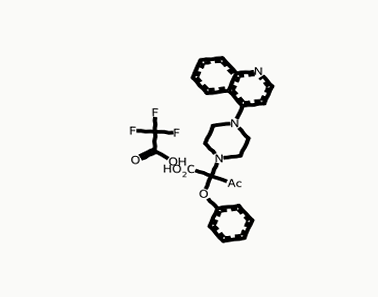 CC(=O)C(Oc1ccccc1)(C(=O)O)N1CCN(c2ccnc3ccccc23)CC1.O=C(O)C(F)(F)F